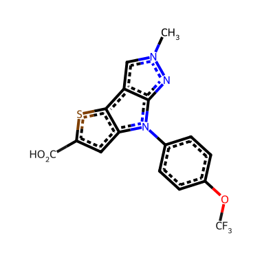 Cn1cc2c3sc(C(=O)O)cc3n(-c3ccc(OC(F)(F)F)cc3)c2n1